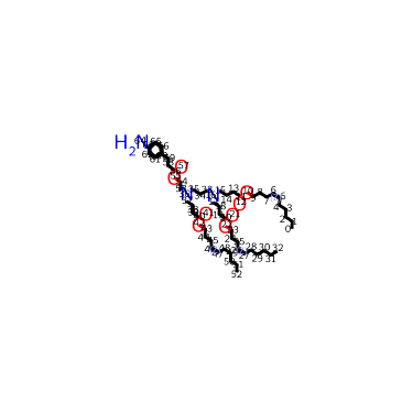 CCCCC/C=C\CCCOC(=O)CCCN(CCCC(=O)OCCC/C=C\CCCCC)CCCN(CCCC(=O)OCCC/C=C\CCCCC)CCOC(=O)CCc1ccc(N)cc1